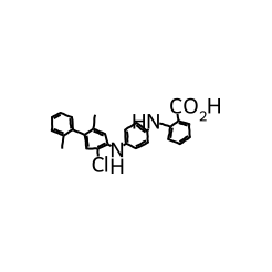 Cc1ccccc1-c1cc(Cl)c(Nc2ccc(Nc3ccccc3C(=O)O)cc2)cc1C